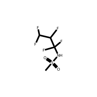 CS(=O)(=O)NC(F)(F)C(F)C(F)F